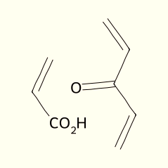 C=CC(=O)C=C.C=CC(=O)O